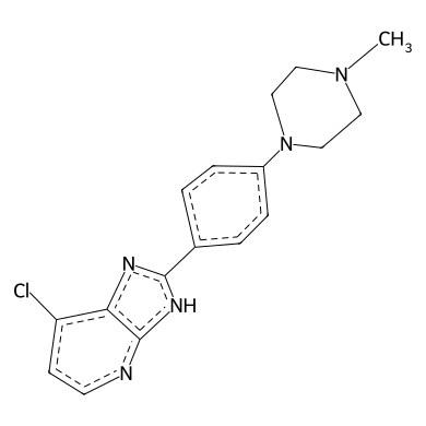 CN1CCN(c2ccc(-c3nc4c(Cl)ccnc4[nH]3)cc2)CC1